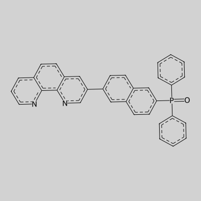 O=P(c1ccccc1)(c1ccccc1)c1ccc2cc(-c3cnc4c(ccc5cccnc54)c3)ccc2c1